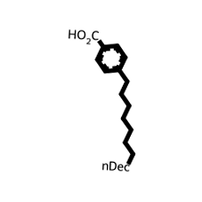 CCCCCCCCCCCCCCCCCc1ccc(C(=O)O)cc1